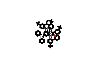 CC(C)(C)c1ccc(N2c3cc(N(c4ccccc4)c4ccccc4)cc4c3B(c3ccc5c6c3N4c3ccc(C(C)(C)C)cc3C6(C)CCC5(C)C)c3c2sc2ccc(C(C)(C)C)cc32)c(-c2ccccc2)c1